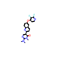 CN(C)c1ncc(-c2ccc3cc(Oc4ccnc(F)c4F)ccc3n2)c(=O)n1C